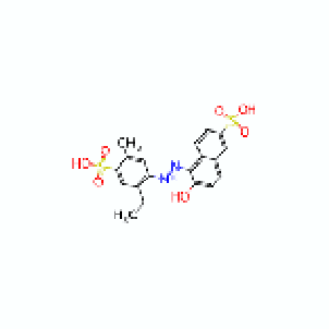 CCc1cc(S(=O)(=O)O)c(C)cc1/N=N/c1c(O)ccc2cc(S(=O)(=O)O)ccc12